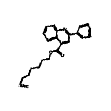 CCCCCCCCCCCCCCCCOC(=O)c1cc(-c2ccccc2)nc2ccccc12